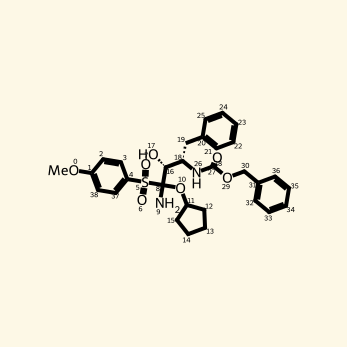 COc1ccc(S(=O)(=O)C(N)(OC2CCCC2)[C@H](O)[C@H](Cc2ccccc2)NC(=O)OCc2ccccc2)cc1